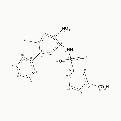 Cc1cc([N+](=O)[O-])c(NS(=O)(=O)c2cccc(C(=O)O)c2)cc1-c1cncnc1